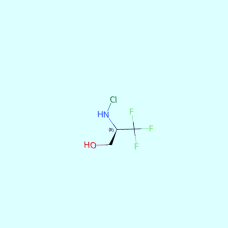 OC[C@@H](NCl)C(F)(F)F